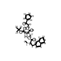 CC[C@@H](Cc1ccc2ccccc2c1)C(=O)OC[C@H](NC(=O)OC(C)(C)C)C(=O)OCC(=O)c1ccccc1